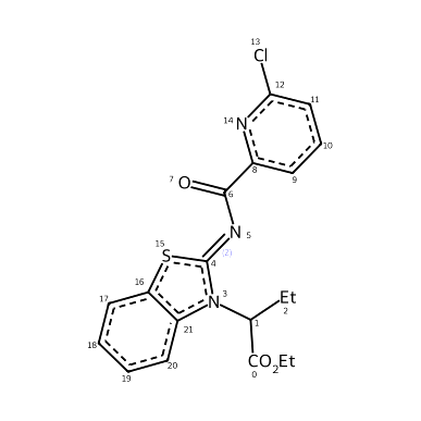 CCOC(=O)C(CC)n1/c(=N/C(=O)c2cccc(Cl)n2)sc2ccccc21